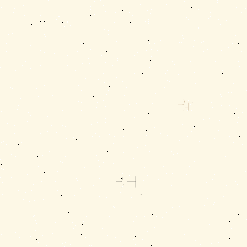 BCc1cccc2cccc(CBr)c12